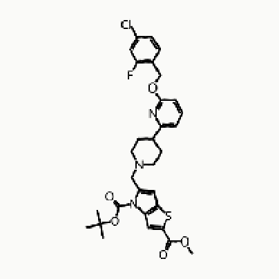 COC(=O)c1cc2c(cc(CN3CCC(c4cccc(OCc5ccc(Cl)cc5F)n4)CC3)n2C(=O)OC(C)(C)C)s1